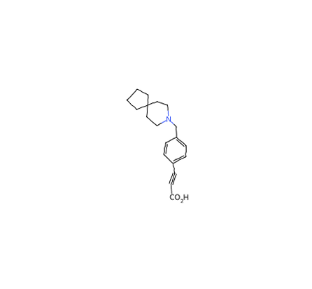 O=C(O)C#Cc1ccc(CN2CCC3(CCCC3)CC2)cc1